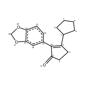 O=C1CCC(C2CCCC2)=C1c1ccc2c(c1)OCO2